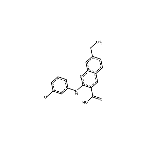 CCc1ccc2cc(C(=O)O)c(Nc3cccc(Cl)c3)nc2c1